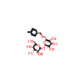 Cc1ccc(COC[C@H]2O[C@H](O[C@H]3O[C@H](CO)[C@@H](O)[C@H](O)[C@H]3O)[C@H](O)[C@@H](O)[C@@H]2O)cc1